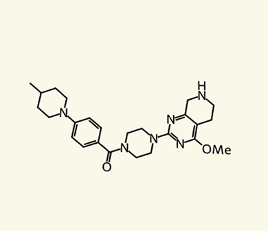 COc1nc(N2CCN(C(=O)c3ccc(N4CCC(C)CC4)cc3)CC2)nc2c1CCNC2